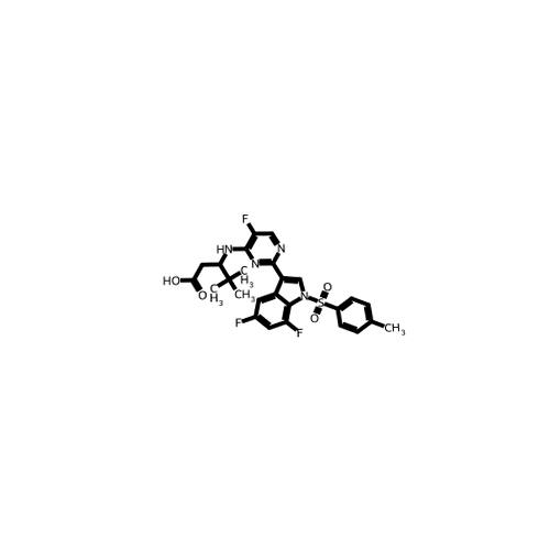 Cc1ccc(S(=O)(=O)n2cc(-c3ncc(F)c(NC(CC(=O)O)C(C)(C)C)n3)c3cc(F)cc(F)c32)cc1